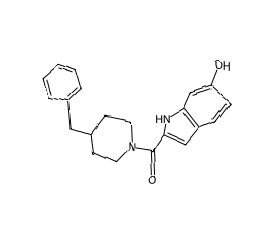 O=C(c1cc2ccc(O)cc2[nH]1)N1CCC(Cc2ccccc2)CC1